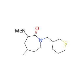 CNC1CC(C)CCN(CC2CCCSC2)C1=O